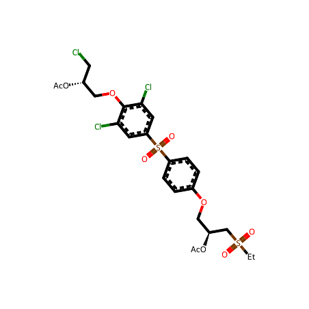 CCS(=O)(=O)C[C@H](COc1ccc(S(=O)(=O)c2cc(Cl)c(OC[C@@H](CCl)OC(C)=O)c(Cl)c2)cc1)OC(C)=O